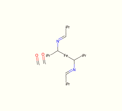 CC(C)C=N[CH]([Fe][CH](N=CC(C)C)C(C)C)C(C)C.[C]=O.[C]=O